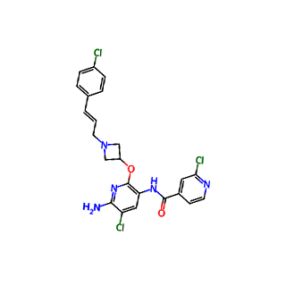 Nc1nc(OC2CN(CC=Cc3ccc(Cl)cc3)C2)c(NC(=O)c2ccnc(Cl)c2)cc1Cl